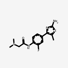 Cc1sc(N)nc1-c1ccc(NC(=O)CN(C)C)c(F)c1